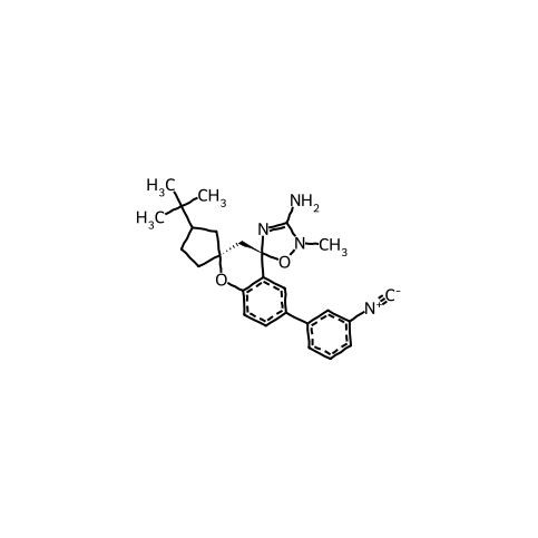 [C-]#[N+]c1cccc(-c2ccc3c(c2)[C@]2(C[C@@]4(CCC(C(C)(C)C)C4)O3)N=C(N)N(C)O2)c1